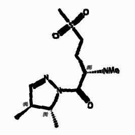 CN[C@@H](CCS(C)(=O)=O)C(=O)N1N=C[C@H](C)[C@H]1C